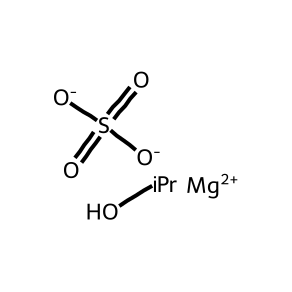 CC(C)O.O=S(=O)([O-])[O-].[Mg+2]